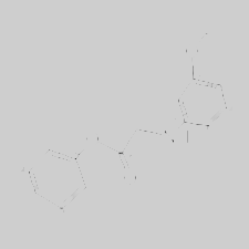 COc1cccc(NCC(=O)Oc2ccccc2)c1